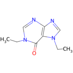 CCn1cnc2ncn(CC)c2c1=O